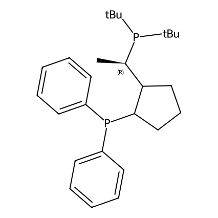 C[C@H](C1CCCC1P(c1ccccc1)c1ccccc1)P(C(C)(C)C)C(C)(C)C